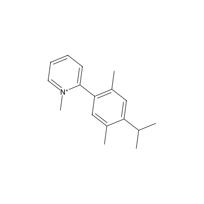 Cc1cc(C(C)C)c(C)cc1-c1cccc[n+]1C